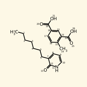 CCCCCCCc1ccc[nH]c1=O.Cc1ccc(C(=O)O)cc1C(=O)O